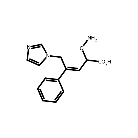 NOC(C=C(Cn1ccnc1)c1ccccc1)C(=O)O